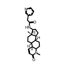 CN1C(=O)C=C[C@@]2(C)C1CC[C@@H]1[C@H]2CC[C@]2(C)C(NC(=O)Cc3cccnc3)CC[C@@H]12